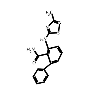 NC(=O)c1c(Nc2nc(C(F)(F)F)ns2)cccc1-c1ccccc1